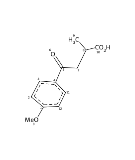 COc1ccc(C(=O)CC(C)C(=O)O)cc1